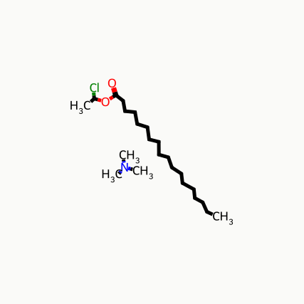 CCCCCCCCCCCCCCCCCC(=O)OC(C)Cl.CN(C)C